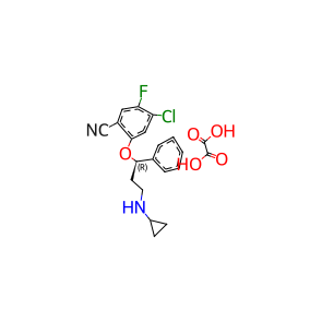 N#Cc1cc(F)c(Cl)cc1O[C@H](CCNC1CC1)c1ccccc1.O=C(O)C(=O)O